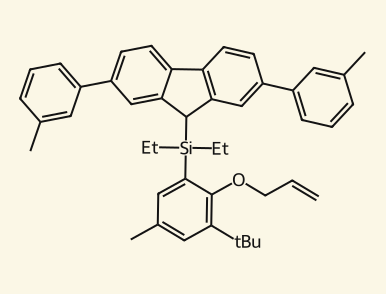 C=CCOc1c(C(C)(C)C)cc(C)cc1[Si](CC)(CC)C1c2cc(-c3cccc(C)c3)ccc2-c2ccc(-c3cccc(C)c3)cc21